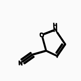 N#CC1[C]=CNO1